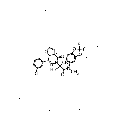 CN(C(=O)C(C)(C)N1N=C(c2cccc(Cl)c2)C2OC=CC2C1=O)c1ccc2c(c1)OC(F)(F)O2